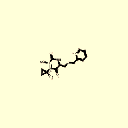 CC(C)(C)OC(=O)NC(CSCc1ccccn1)C(=O)NC1(C#N)CC1